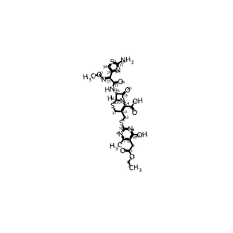 CCOC(=O)Cc1c(C)nc(SCC2=C(C(=O)O)N3C(=O)[C@@H](NC(=O)C(=NOC)c4csc(N)n4)[C@@H]3SC2)nc1O